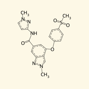 Cn1ccc(NC(=O)c2cc(Oc3ccc(S(C)(=O)=O)cc3)c3cn(C)nc3c2)n1